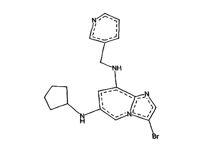 Brc1cnc2c(NCc3cccnc3)cc(NC3CCCC3)cn12